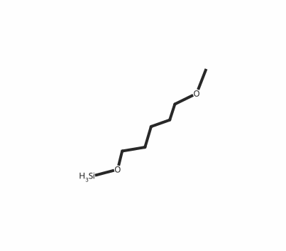 COCCCCCO[SiH3]